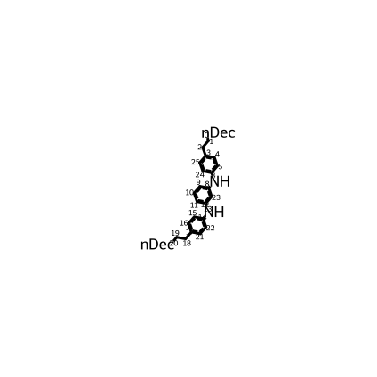 CCCCCCCCCCCCc1ccc(Nc2cccc(Nc3ccc(CCCCCCCCCCCC)cc3)c2)cc1